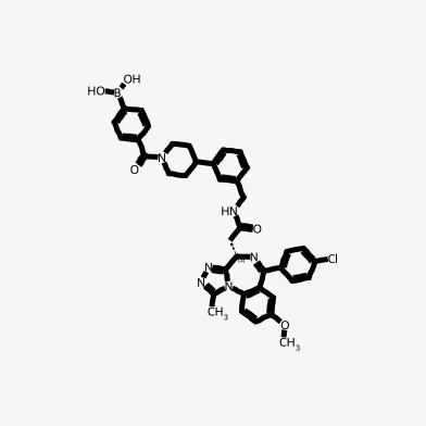 COc1ccc2c(c1)C(c1ccc(Cl)cc1)=N[C@@H](CC(=O)NCc1cccc(C3CCN(C(=O)c4ccc(B(O)O)cc4)CC3)c1)c1nnc(C)n1-2